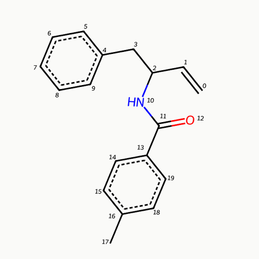 C=CC(Cc1ccccc1)NC(=O)c1ccc(C)cc1